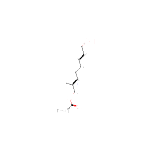 C/C(=C\CC/C=C/CO)COC(=O)C(C)(C)C